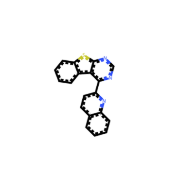 c1ccc2nc(-c3ncnc4sc5ccccc5c34)ccc2c1